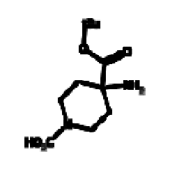 CC(C)(C)OC(=O)C1(N)CCN(C(=O)O)CC1